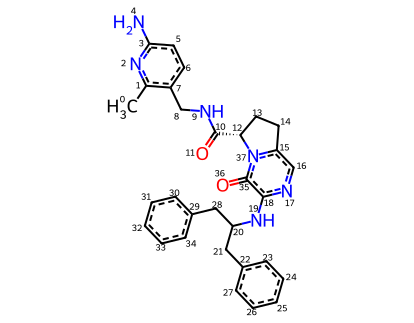 Cc1nc(N)ccc1CNC(=O)[C@@H]1CCc2cnc(NC(Cc3ccccc3)Cc3ccccc3)c(=O)n21